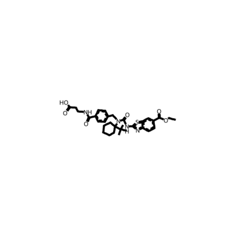 CCOC(=O)c1ccc2nc(NC(=O)N(Cc3ccc(C(=O)NCCC(=O)O)cc3)C3(C(C)(C)C)CCCCC3)sc2c1